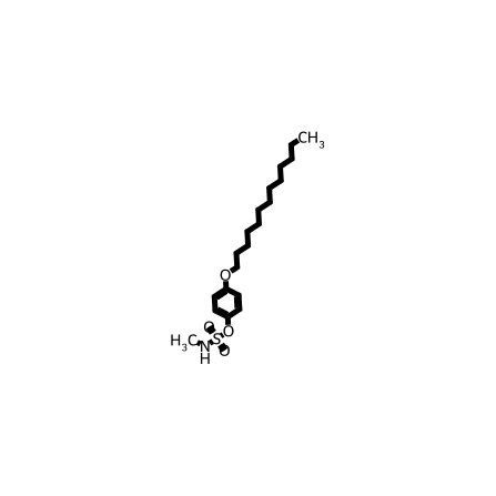 CCCCCCCCCCCCCOc1ccc(OS(=O)(=O)NC)cc1